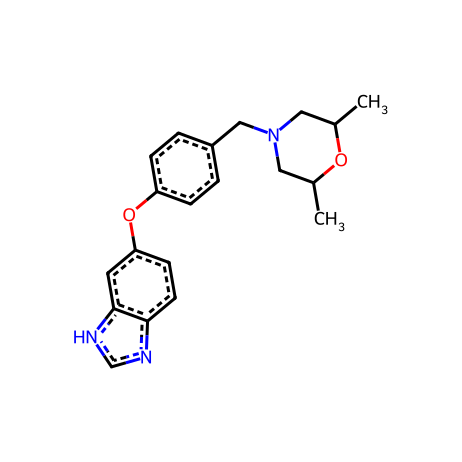 CC1CN(Cc2ccc(Oc3ccc4nc[nH]c4c3)cc2)CC(C)O1